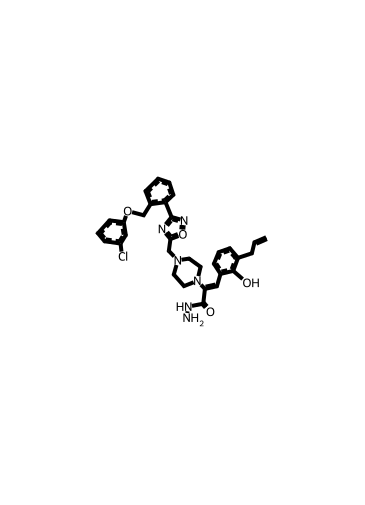 C=CCc1cccc(C=C(C(=O)NN)N2CCN(Cc3nc(-c4ccccc4COc4cccc(Cl)c4)no3)CC2)c1O